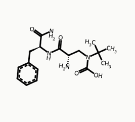 CC(C)(C)N(C[C@H](N)C(=O)N[C@@H](Cc1ccccc1)C(N)=O)C(=O)O